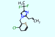 C=CCc1nc(C(C)(F)F)cn1CC1=C(Cl)CC#CS1